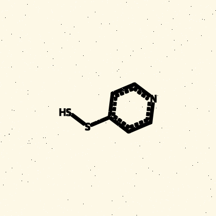 SSc1ccncc1